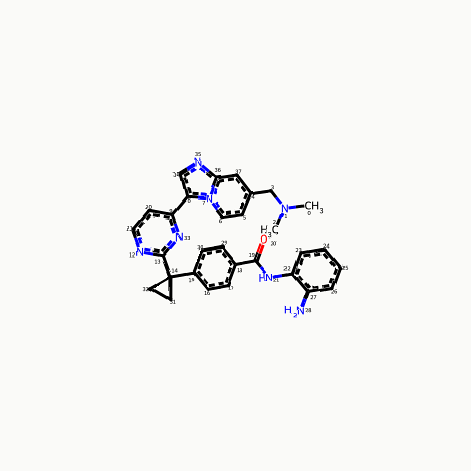 CN(C)Cc1ccn2c(-c3ccnc(C4(c5ccc(C(=O)Nc6ccccc6N)cc5)CC4)n3)cnc2c1